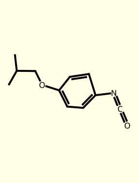 CC(C)COc1ccc(N=C=O)cc1